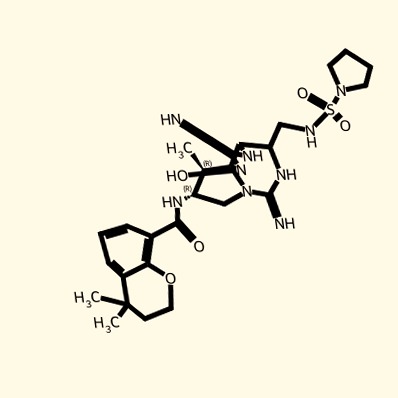 C[C@@H]1[C@@H](NC(=O)c2cccc3c2OCCC3(C)C)CN2C(=N)NC(CNS(=O)(=O)N3CCCC3)C3NC(=N)N(O)C312